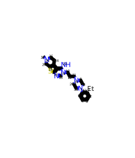 CCc1ccccc1N1CCN(CCCn2cnc3sc4c(c3c2=N)CCN(C)C4)CC1